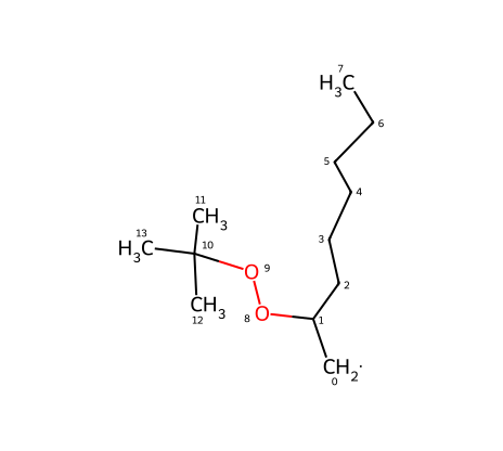 [CH2]C(CCCCCC)OOC(C)(C)C